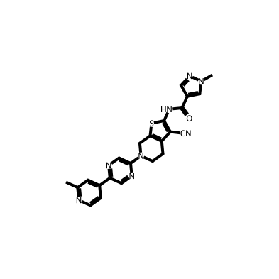 Cc1cc(-c2cnc(N3CCc4c(sc(NC(=O)c5cnn(C)c5)c4C#N)C3)cn2)ccn1